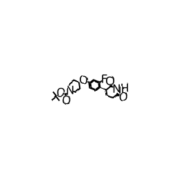 CC(C)(C)OC(=O)N1CCC(Oc2ccc(C3CCC(=O)NC3=O)c(F)c2)CC1